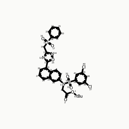 CC(C)(C)OC(=O)CN(c1ccc2c(-c3nc(CS(=O)(=O)c4ccccc4)no3)cccc2c1)S(=O)(=O)c1cc(Cl)cc(Cl)c1